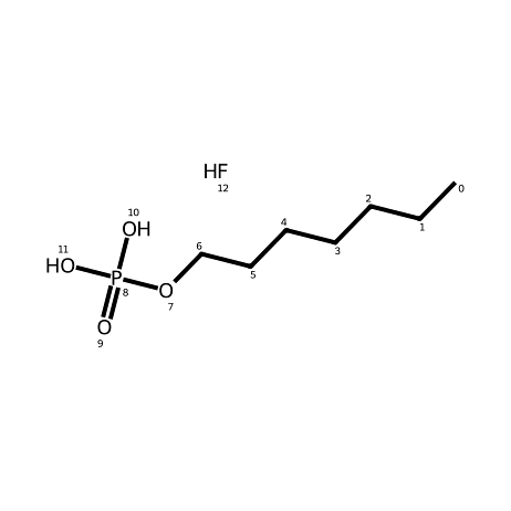 CCCCCCCOP(=O)(O)O.F